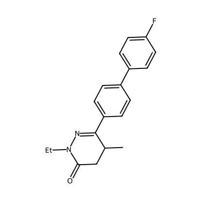 CCN1N=C(c2ccc(-c3ccc(F)cc3)cc2)C(C)CC1=O